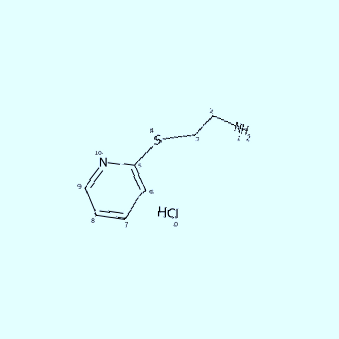 Cl.NCCSc1ccccn1